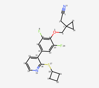 N#CCC1(COc2c(F)cc(-c3cccnc3SC3CCC3)cc2F)CC1